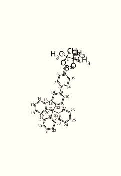 CC1(C)OB(c2ccc(-c3ccc4c(c3)-c3ccccc3C4(c3ccccc3)c3ccccc3)cc2)OC1(C)C